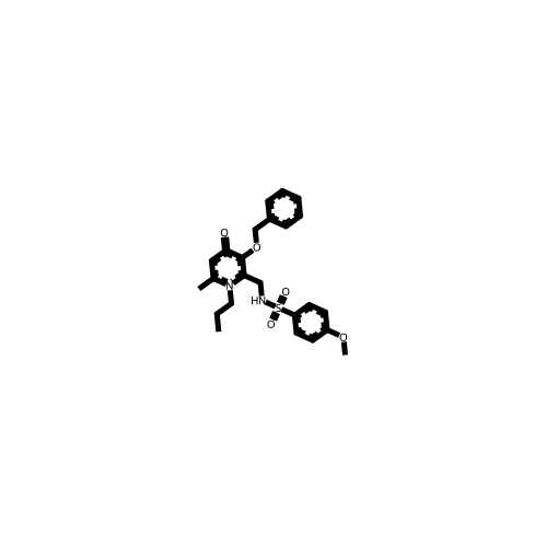 CCCn1c(C)cc(=O)c(OCc2ccccc2)c1CNS(=O)(=O)c1ccc(OC)cc1